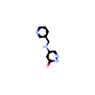 O=c1cc(NCc2cccnc2)cn[nH]1